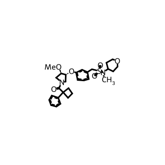 CO[C@@H]1CN(C(=O)C2(c3ccccc3)CCC2)C[C@H]1Oc1cccc(CS(=O)(=O)N(C)C2CCOCC2)c1